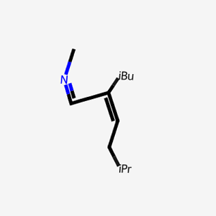 CCC(C)C(/C=N\C)=C/CC(C)C